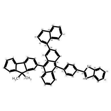 CC1(C)c2ccccc2-c2ccc(-c3c4ccccc4c(-c4ccc(-c5nc6ccccc6s5)cc4)c4ccc(-c5cccc6ccccc56)cc34)cc21